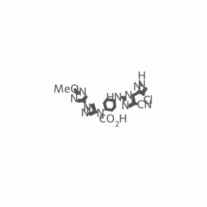 COc1ncc(-n2cc(N(C(=O)O)[C@H]3CC[C@H](Nc4ncc(C#N)c(-c5n[nH]cc5Cl)n4)CC3)cn2)cn1